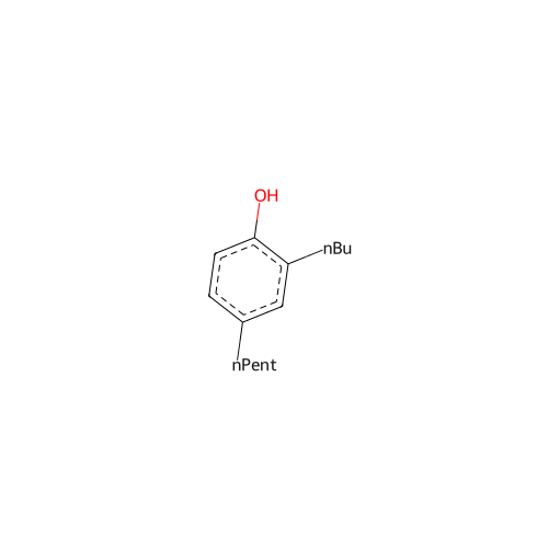 CCCCCc1ccc(O)c(CCCC)c1